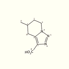 CC1CCn2nnc(C(=O)O)c2C1